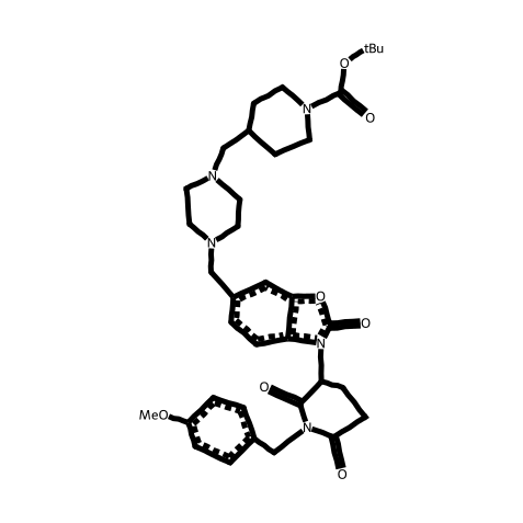 COc1ccc(CN2C(=O)CCC(n3c(=O)oc4cc(CN5CCN(CC6CCN(C(=O)OC(C)(C)C)CC6)CC5)ccc43)C2=O)cc1